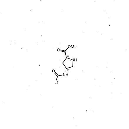 CCC(=O)N[C@H]1CN[C@H](C(=O)OC)C1